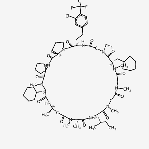 CCC(C)[C@@H]1NC(=O)[C@H](C)N(C)C(=O)C[C@@H](C)NC(=O)[C@H](C2CCCCC2)N(C)C(=O)C2(CCCC2)NC(=O)[C@@H]2CCCN2C(=O)[C@H](CCc2ccc(C(F)(F)F)c(Cl)c2)NC(=O)CN(C)C(=O)[C@H](CC2CCCCC2)N(C)C(=O)CN(C)C(=O)CN(C)C1=O